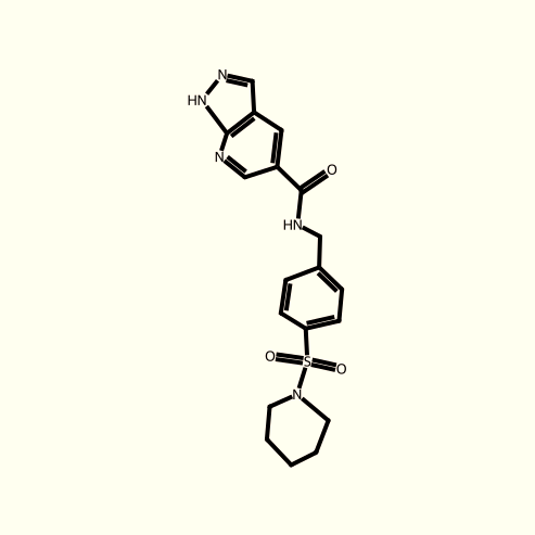 O=C(NCc1ccc(S(=O)(=O)N2CCCCC2)cc1)c1cnc2[nH]ncc2c1